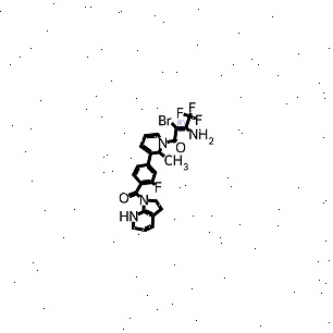 CC1C(c2ccc(C(=O)N3CCC4=C3NCC=C4)c(F)c2)=CC=CN1C(=O)/C(Br)=C(\N)C(F)(F)F